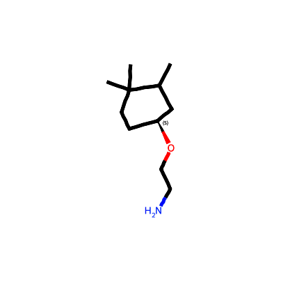 CC1C[C@@H](OCCN)CCC1(C)C